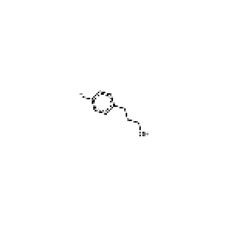 OC[CH]Cc1ccc(F)cc1